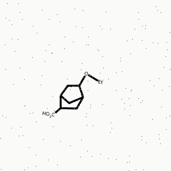 CCOC1CC2CC1CC2C(=O)O